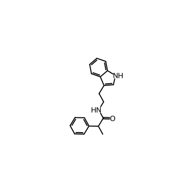 CC(C(=O)NCCc1c[nH]c2ccccc12)c1ccccc1